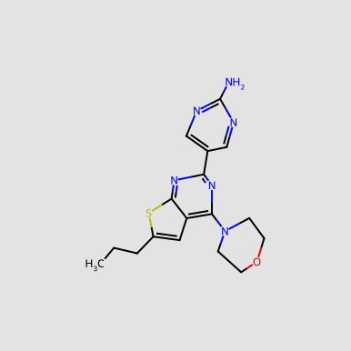 CCCc1cc2c(N3CCOCC3)nc(-c3cnc(N)nc3)nc2s1